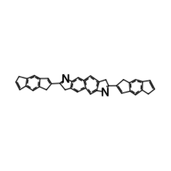 C1=Cc2cc3c(cc2C1)C=C(C1=Nc2cc4cc5c(cc4cc2C1)N=C(C1=Cc2cc4c(cc2C1)C=CC4)C5)C3